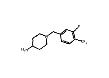 NC1CCN(Cc2ccc(C(F)(F)F)c(F)c2)CC1